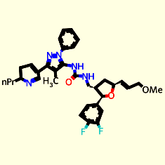 CCCC1CC=C(c2nn(-c3ccccc3)c(NC(=O)NC[C@@H]3C[C@@H](/C=C/COC)O[C@H]3c3ccc(F)c(F)c3)c2C)C=N1